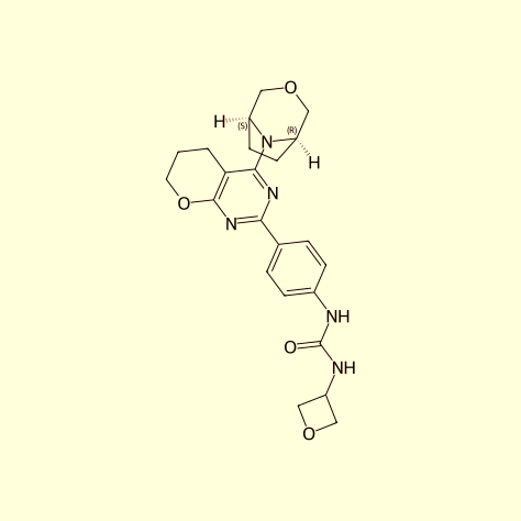 O=C(Nc1ccc(-c2nc3c(c(N4[C@@H]5CC[C@H]4COC5)n2)CCCO3)cc1)NC1COC1